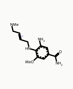 CNC/C=C/CNc1c(N)cc(C(N)=O)cc1OC